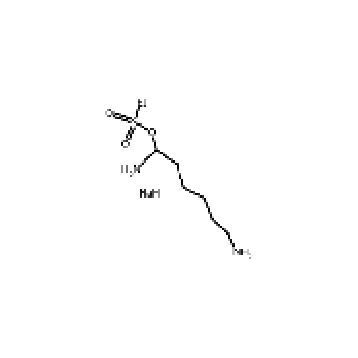 CCS(=O)(=O)OC(N)CCCCCN.[NaH]